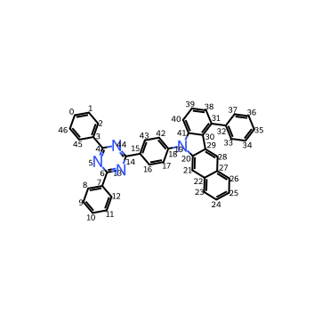 c1ccc(-c2nc(-c3ccccc3)nc(-c3ccc(-n4c5cc6ccccc6cc5c5c(-c6ccccc6)cccc54)cc3)n2)cc1